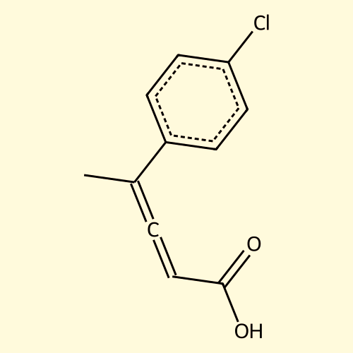 CC(=C=CC(=O)O)c1ccc(Cl)cc1